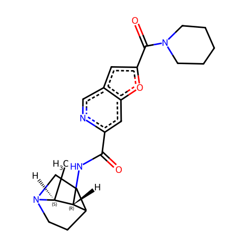 C[C@H]1[C@H](NC(=O)c2cc3oc(C(=O)N4CCCCC4)cc3cn2)C2CCN1CC2